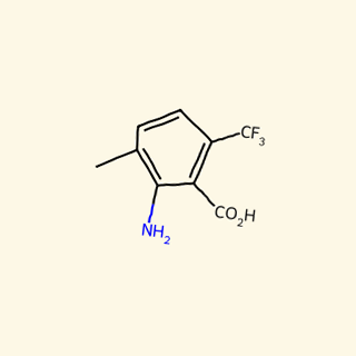 Cc1ccc(C(F)(F)F)c(C(=O)O)c1N